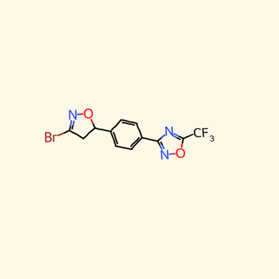 FC(F)(F)c1nc(-c2ccc(C3CC(Br)=NO3)cc2)no1